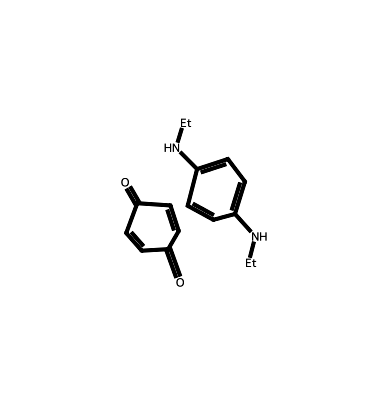 CCNc1ccc(NCC)cc1.O=C1C=CC(=O)C=C1